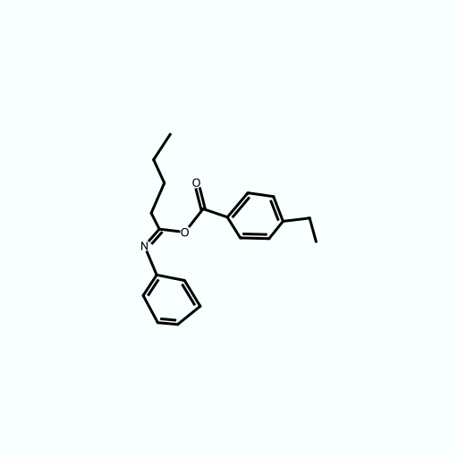 CCCCC(=Nc1ccccc1)OC(=O)c1ccc(CC)cc1